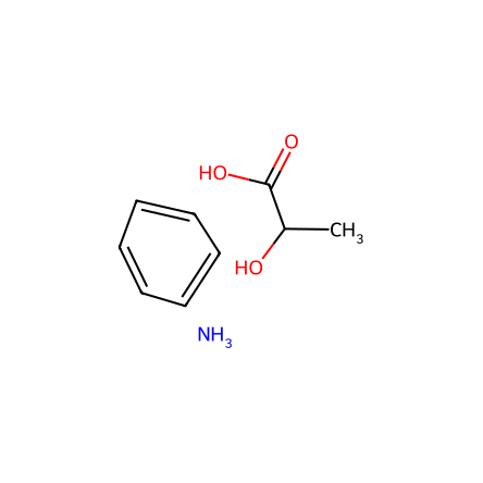 CC(O)C(=O)O.N.c1ccccc1